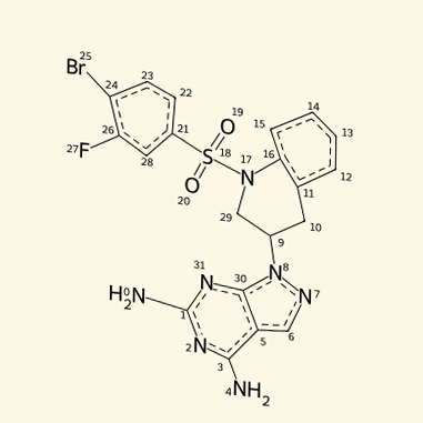 Nc1nc(N)c2cnn(C3Cc4ccccc4N(S(=O)(=O)c4ccc(Br)c(F)c4)C3)c2n1